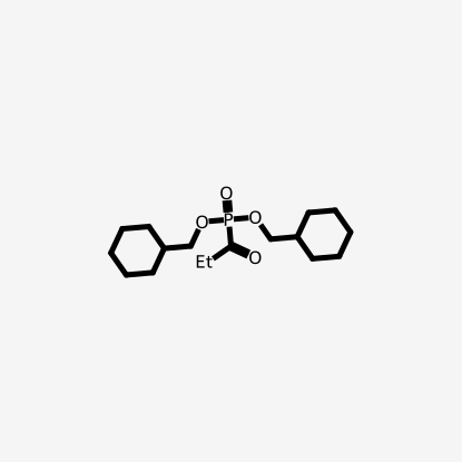 CCC(=O)P(=O)(OCC1CCCCC1)OCC1CCCCC1